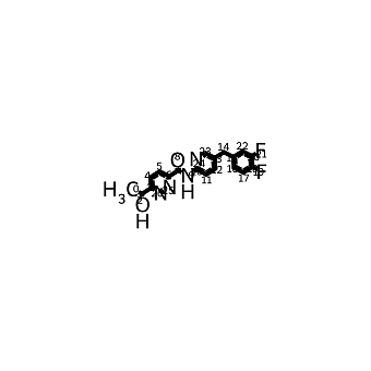 CC(O)c1ccc(C(=O)Nc2ccc(Cc3ccc(F)c(F)c3)cn2)nn1